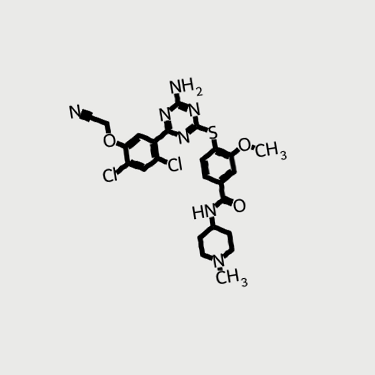 COc1cc(C(=O)NC2CCN(C)CC2)ccc1Sc1nc(N)nc(-c2cc(OCC#N)c(Cl)cc2Cl)n1